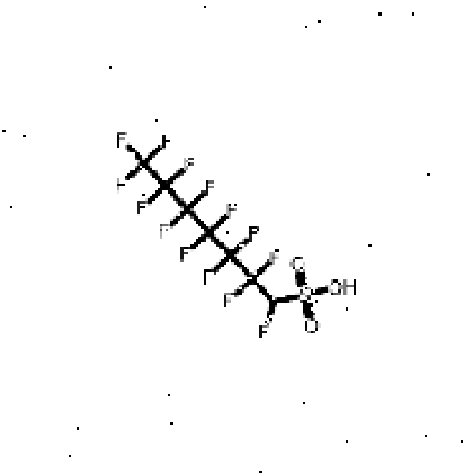 O=S(=O)(O)C(F)C(F)(F)C(F)(F)C(F)(F)C(F)(F)C(F)(F)C(F)(F)F